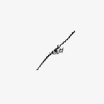 CCCCCCCCCCCCCCCCSCCS(CCSCCCCCCCCCCCCCCCC)=P(O)(O)S